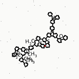 C=C/C(=C\c1c(C)n(-c2ccc(C3=C\C(=C)c4cccc(C5C=c6c(sc7ccccc67)=C(c6ccc7c(c6)c6cc(-c8cccc9c8oc8ccccc89)ccc6n7-c6ccc(-c7ccc8c(c7)c7ccccc7n8-c7ccccc7)cc6)C5)c4N4C/C(=C\3)c3ccccc34)cc2)c2ccc(-c3cccc4c3oc3ccccc34)cc12)c1cccc(-c2ccccc2C)c1C